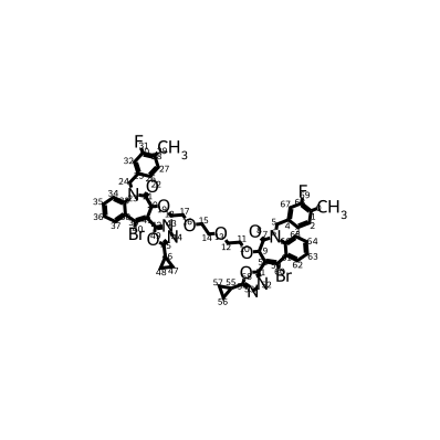 Cc1ccc(CN2C(=O)C(OCCOCCOCCOC3C(=O)N(Cc4ccc(C)c(F)c4)c4ccccc4C(Br)=C3c3nnc(C4CC4)o3)C(c3nnc(C4CC4)o3)=C(Br)c3ccccc32)cc1F